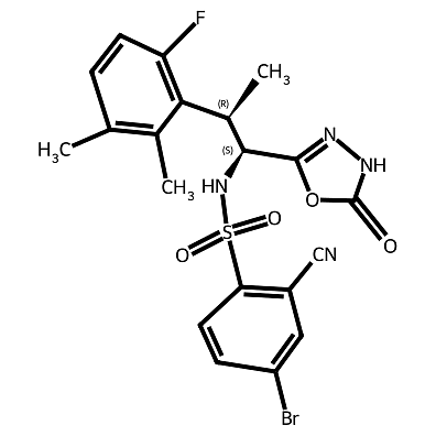 Cc1ccc(F)c([C@@H](C)[C@H](NS(=O)(=O)c2ccc(Br)cc2C#N)c2n[nH]c(=O)o2)c1C